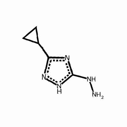 NNc1nc(C2CC2)n[nH]1